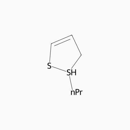 CCC[SH]1CC=CS1